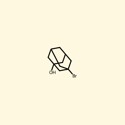 OC12CC3CC(C1)CC(Br)(C3)C2